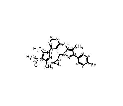 Cc1nn(-c2cc(Nc3c(C)c(-c4ccc(F)cc4)nn3CC3CC3)ncn2)c(C)c1[S+](C)[O-]